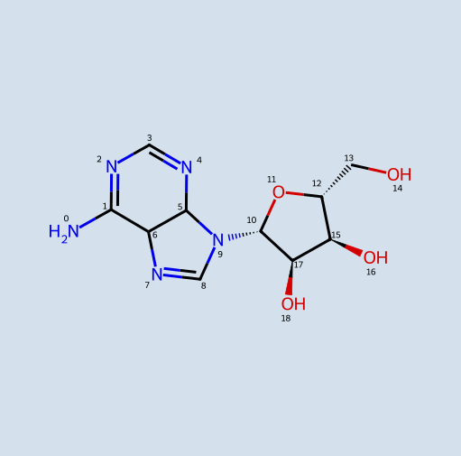 NC1=NC=NC2C1N=CN2[C@@H]1O[C@H](CO)[C@@H](O)[C@H]1O